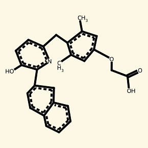 Cc1cc(OCC(=O)O)cc(C)c1Cc1ccc(O)c(-c2ccc3ccccc3c2)n1